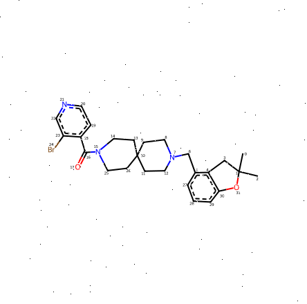 CC1(C)Cc2c(CN3CCC4(CC3)CCN(C(=O)c3ccncc3Br)CC4)cccc2O1